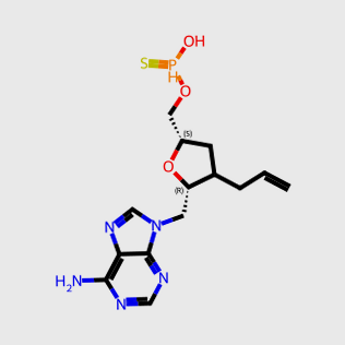 C=CCC1C[C@@H](CO[PH](O)=S)O[C@H]1Cn1cnc2c(N)ncnc21